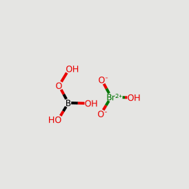 OOB(O)O.[O-][Br+2]([O-])O